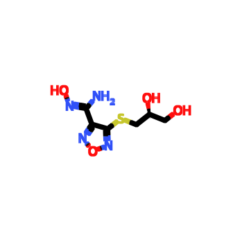 NC(=NO)c1nonc1SC[C@@H](O)CO